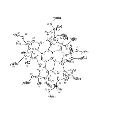 CCCCO[PH](O)(OCCCC)OCC1O[C@@H](O[C@@H]2C(CO[PH](O)(OCCCC)OCCCC)OC(O[PH](O)(OCCCC)OCCCC)C(O[PH](O)(OCCCC)OCCCC)[C@H]2O[PH](O)(OCCCC)OCCCC)[C@@H](O[PH](O)(OCCCC)OCCCC)C(O[PH](O)(OCCCC)OCCCC)[C@H]1O[PH](O)(OCCCC)OCCCC